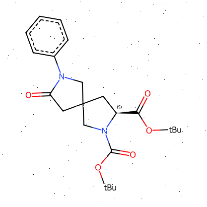 CC(C)(C)OC(=O)[C@@H]1CC2(CC(=O)N(c3ccccc3)C2)CN1C(=O)OC(C)(C)C